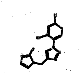 Cc1nccn1Cc1cn(C2=CCC(Cl)C=C2Cl)nn1